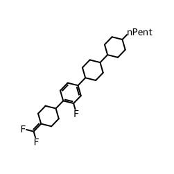 CCCCCC1CCC(C2CCC(c3ccc(C4CCC(=C(F)F)CC4)c(F)c3)CC2)CC1